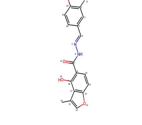 COc1cc(/C=N/NC(=O)c2ccc3occ(C)c3c2O)ccc1O